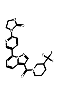 O=C(c1cnn2c(-c3ccc(N4CCOC4=O)nc3)cccc12)N1CCCC(C(F)(F)F)C1